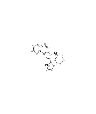 CC(C1CCCCC1)(C1CCCN1)[C@@H](N)c1cnc2ccccc2c1